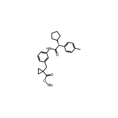 Cc1ccc([C@@H](C(=O)Nc2cccc(CC3(C(=O)OC(C)(C)C)CC3)c2)C2CCCC2)cc1